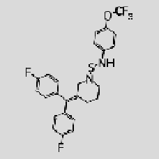 Fc1ccc(C(=C2CCCN(SNc3ccc(OC(F)(F)F)cc3)C2)c2ccc(F)cc2)cc1